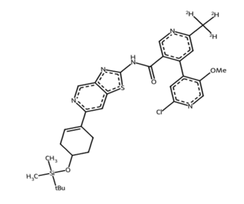 [2H]C([2H])([2H])c1cc(-c2cc(Cl)ncc2OC)c(C(=O)Nc2nc3cnc(C4=CCC(O[Si](C)(C)C(C)(C)C)CC4)cc3s2)cn1